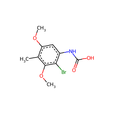 COc1cc(NC(=O)O)c(Br)c(OC)c1C